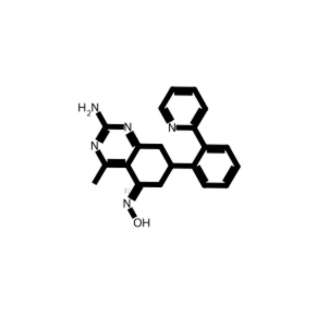 Cc1nc(N)nc2c1/C(=N/O)CC(c1ccccc1-c1ccccn1)C2